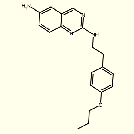 CCCOc1ccc(CCNc2ncc3cc(N)ccc3n2)cc1